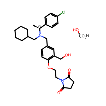 C[C@@H](c1ccc(Cl)cc1)N(Cc1ccc(OCCN2C(=O)CCC2=O)c(CO)c1)CC1CCCCC1.O=C(O)O